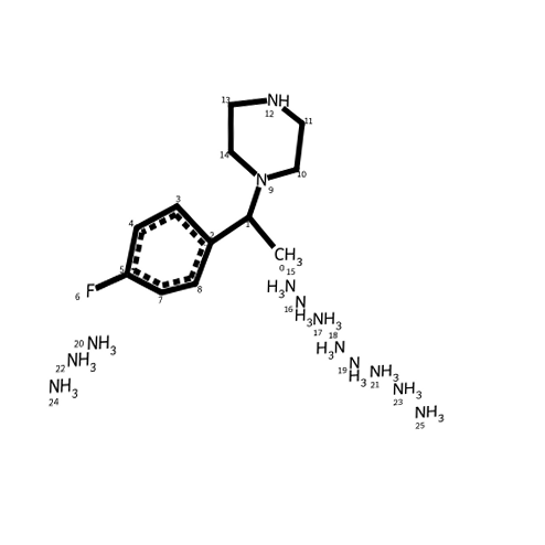 CC(c1ccc(F)cc1)N1CCNCC1.N.N.N.N.N.N.N.N.N.N.N